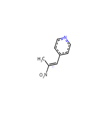 C/C(=C\c1ccncc1)[N+](=O)[O-]